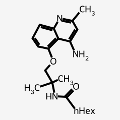 CCCCCCC(=O)NC(C)(C)COc1cccc2nc(C)cc(N)c12